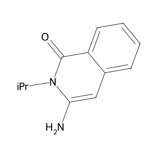 CC(C)n1c(N)cc2ccccc2c1=O